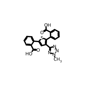 Cn1nnc(-c2cc(-c3ccccc3C(=O)O)sc2-c2ccccc2C(=O)O)n1